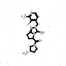 C[C@H]1CCN(C(=O)C2CCC3=NN(Cc4ccnc(C(F)(F)F)c4F)C(O)N32)C1